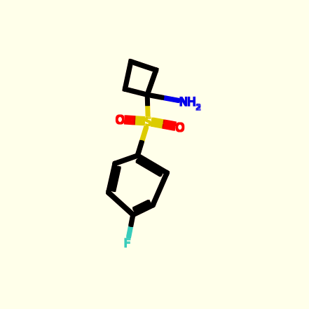 NC1(S(=O)(=O)c2ccc(F)cc2)CCC1